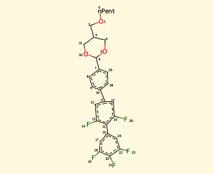 CCCCCOCC1COC(c2ccc(-c3cc(F)c(-c4cc(F)c(F)c(F)c4)c(F)c3)cc2)OC1